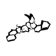 CC1CC[n+]2c(sc3ccc4ccccc4c32)C1=CC1=C2Sc3ccc4ccccc4c3N2CCC1C